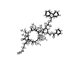 CC[C@H]1OC(=O)[C@@](C)(F)C(=O)[C@H](C)[C@@H](OC2(O)OC(COC(=O)c3ccccc3)CC(NC(=O)OCC3c4ccccc4-c4ccccc43)C2O)[C@@](C)(OC)C[C@@H](C)C(=O)[C@H](C)[C@H]2N(CCCCN=[N+]=[N-])C(=O)O[C@]12C